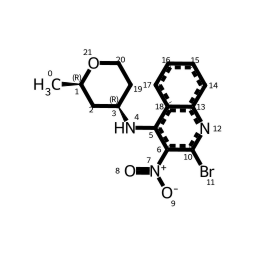 C[C@@H]1C[C@H](Nc2c([N+](=O)[O-])c(Br)nc3ccccc23)CCO1